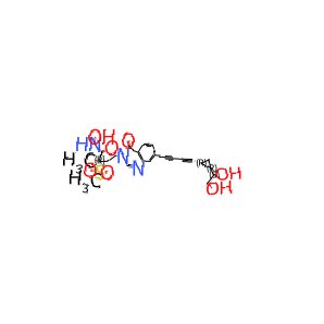 C[C@@](CCn1cnc2cc(C#CC#C[C@@H]3C[C@H]3[C@H](O)CO)ccc2c1=O)(C(=O)NO)S(C)(=O)=O